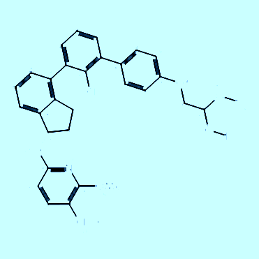 CCOC(COc1ccc(-c2cccc(-c3cccc4c3CC[C@@H]4Oc3ccc(C=O)c(OC)n3)c2C)cc1)OCC